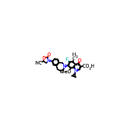 COc1c(N2CCCc3cc(N4CC(C#N)OC4=O)ccc3C2)c(F)c(C)c2c(=O)c(C(=O)O)cn(C3CC3)c12